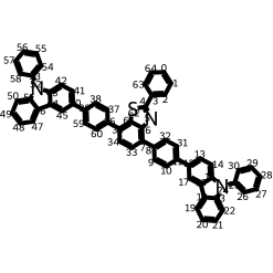 c1ccc(-c2nc3c(-c4ccc(-c5ccc6c(c5)c5ccccc5n6-c5ccccc5)cc4)ccc(-c4ccc(-c5ccc6c(c5)c5ccccc5n6-c5ccccc5)cc4)c3s2)cc1